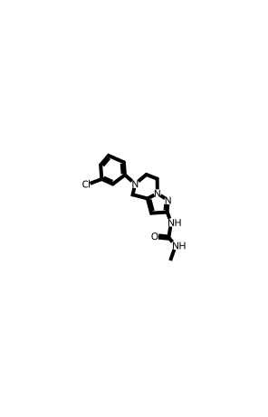 CNC(=O)Nc1cc2n(n1)CCN(c1cccc(Cl)c1)C2